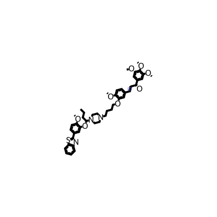 CCCC(Oc1cc(-c2nc3ccccc3s2)ccc1OC)N1CCN(CCCCOc2cc(/C=C/C(=O)c3cc(OC)c(OC)c(OC)c3)ccc2OC)CC1